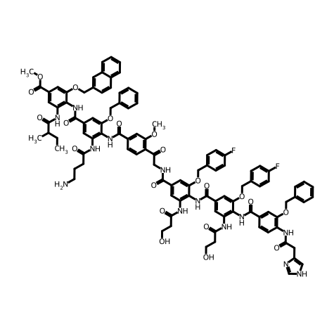 CCC(C)C(=O)Nc1cc(C(=O)OC)cc(OCc2ccc3ccccc3c2)c1NC(=O)c1cc(NC(=O)CCCN)c(NC(=O)c2ccc(C(=O)CNC(=O)c3cc(NC(=O)CCO)c(NC(=O)c4cc(NC(=O)CCO)c(NC(=O)c5ccc(NC(=O)Cc6c[nH]cn6)c(OCc6ccccc6)c5)c(OCc5ccc(F)cc5)c4)c(OCc4ccc(F)cc4)c3)c(OC)c2)c(OCc2ccccc2)c1